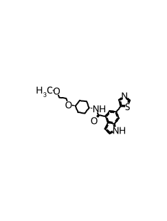 COCCO[C@H]1CC[C@H](NC(=O)c2cc(-c3cncs3)cc3[nH]ccc23)CC1